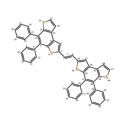 C(=C\c1cc2c(s1)c(-c1ccccc1)c(-c1ccccc1)c1sccc12)/c1cc2c(s1)c(-c1ccccc1)c(-c1ccccc1)c1sccc12